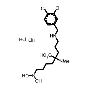 CNC(CCCCB(O)O)(CCCNCc1ccc(Cl)c(Cl)c1)C(=O)O.Cl.Cl